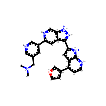 CN(C)Cc1cncc(-c2cc3c(-c4cc5c(-c6ccoc6)ccnc5[nH]4)n[nH]c3cn2)c1